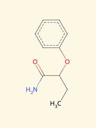 CCC(Oc1ccccc1)C(N)=O